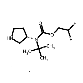 CC(C)(C)N(C(=O)OCC(F)F)[C@H]1CCNC1